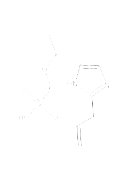 C=CCc1ncc[nH]1.CCOOS(=O)(=O)O